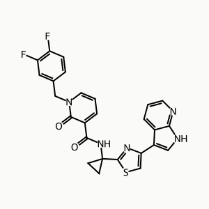 O=C(NC1(c2nc(-c3c[nH]c4ncccc34)cs2)CC1)c1cccn(Cc2ccc(F)c(F)c2)c1=O